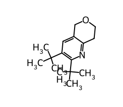 CC(C)(C)c1cc2c(nc1C(C)(C)C)CCOC2